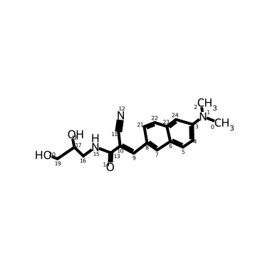 CN(C)c1ccc2cc(/C=C(\C#N)C(=O)NCC(O)CO)ccc2c1